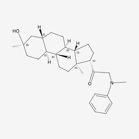 CN(CC(=O)[C@H]1CC[C@H]2[C@@H]3CC[C@H]4C[C@](C)(O)CC[C@@H]4[C@H]3CC[C@]12C)c1ccccc1